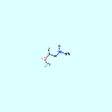 CC(C)OC(C)CN(C)C(C)C